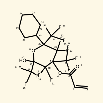 C=CC(=O)OC1(C(F)(F)F)C(F)(F)C(O)(C(F)(F)F)OC(C2CCCCC2)(C(F)(F)F)C1(F)F